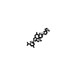 Cc1cc(C(C)C)nc(N2CC(CC(C)c3cccc(N4CCC5(CCN5C)C4)n3)C3CN(C)CC32)c1